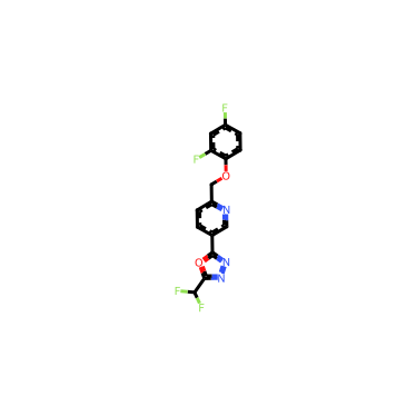 Fc1ccc(OCc2ccc(-c3nnc(C(F)F)o3)cn2)c(F)c1